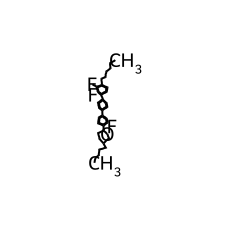 CCCCCCc1ccc(-c2ccc(-c3ccc(C4CCC(CCCCC)CO4)c(F)c3)cc2)c(F)c1F